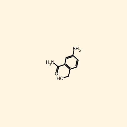 Bc1ccc(CO)c(C(N)=O)c1